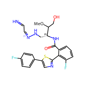 COC(CO)[C@@H](CN/N=C\C=N)NC(=O)c1cccc(F)c1-c1ncc(-c2ccc(F)cc2)s1